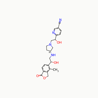 Cc1c(C(O)CN[C@@H]2CCN(CC(O)c3ccc(C#N)cn3)C2)ccc2c1COC2=O